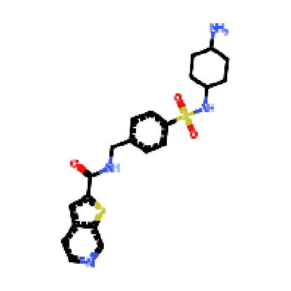 NC1CCC(NS(=O)(=O)c2ccc(CNC(=O)c3cc4ccncc4s3)cc2)CC1